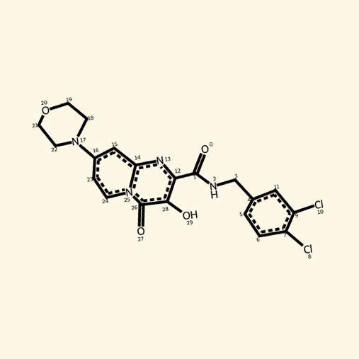 O=C(NCc1ccc(Cl)c(Cl)c1)c1nc2cc(N3CCOCC3)ccn2c(=O)c1O